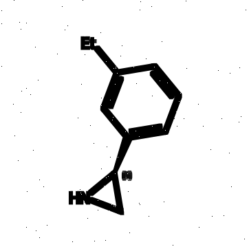 CCc1cccc([C@H]2CN2)c1